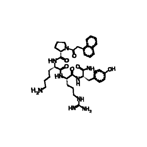 N=C(N)NCCC[C@H](NC(=O)[C@H](CCCCN)NC(=O)[C@@H]1CCCN1C(=O)Cc1cccc2ccccc12)C(=O)N[C@@H](Cc1ccc(O)cc1)C(N)=O